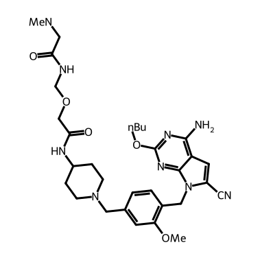 CCCCOc1nc(N)c2cc(C#N)n(Cc3ccc(CN4CCC(NC(=O)COCNC(=O)CNC)CC4)cc3OC)c2n1